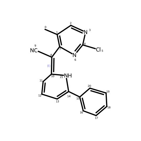 Cc1cnc(Cl)nc1/C(C#N)=C1/C=CC=C(c2ccccc2)N1